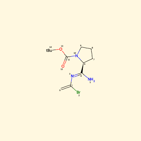 C=C(Br)/N=C(\N)[C@@H]1CCCN1C(=O)OC(C)(C)C